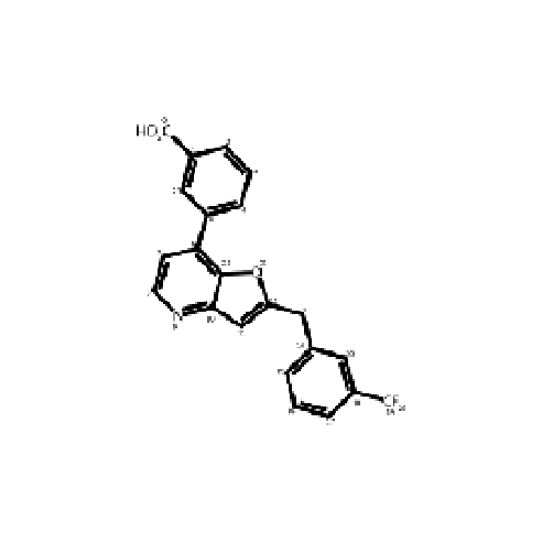 O=C(O)c1cccc(-c2ccnc3cc(Cc4cccc(C(F)(F)F)c4)oc23)c1